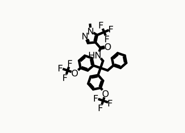 Cn1ncc(C(=O)NCC(Cc2ccccc2)(c2cccc(OC(F)(F)F)c2)c2cccc(OC(F)(F)F)c2)c1C(F)(F)F